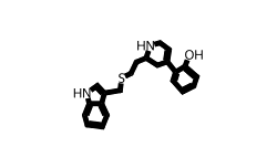 Oc1ccccc1C1=CCNC(CCSCc2c[nH]c3ccccc23)C1